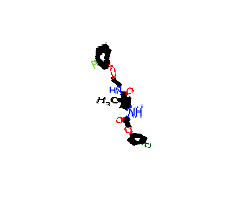 CC1(C(=O)NCCOc2cccc(F)c2)C=C(NC(=O)COc2ccc(Cl)cc2)C1